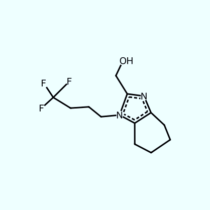 OCc1nc2c(n1CCCC(F)(F)F)CCCC2